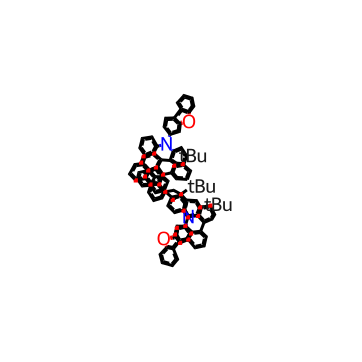 CC(C)(C)c1cc(-c2cccc3cccc(-c4ccccc4N(c4cccc(-c5cccc6c5ccc5c(CC(C)(C)c7cc(-c8cccc9cccc(-c%10ccccc%10N(c%10ccc(-c%11ccc%12ccccc%12c%11)cc%10)c%10ccc%11c(c%10)oc%10ccccc%10%11)c89)cc(C(C)(C)C)c7)cccc56)c4)c4ccc5c(c4)oc4ccccc45)c23)cc(C(C)(C)C)c1